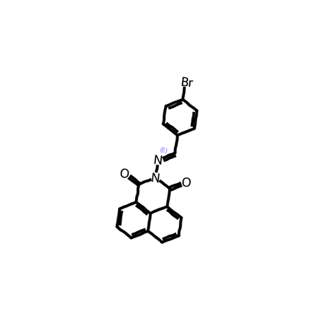 O=C1c2cccc3cccc(c23)C(=O)N1/N=C/c1ccc(Br)cc1